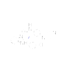 CCN1CCC(N(C)c2ccc3c(c2)/C(=C(\c2cccc(Cl)c2)c2nc4ccccc4[nH]2)C(=O)N3)CC1